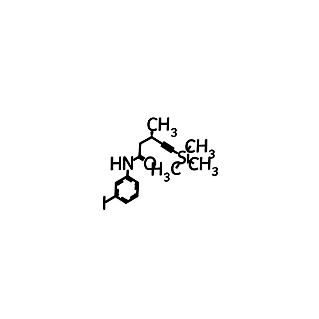 C[C@@H](C#C[Si](C)(C)C)CC(=O)Nc1cccc(I)c1